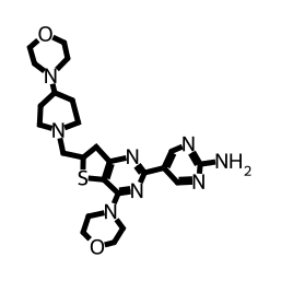 Nc1ncc(-c2nc3c(c(N4CCOCC4)n2)SC(CN2CCC(N4CCOCC4)CC2)C3)cn1